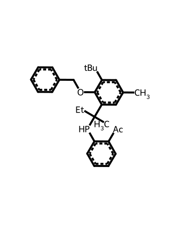 CCC(C)(Pc1ccccc1C(C)=O)c1cc(C)cc(C(C)(C)C)c1OCc1ccccc1